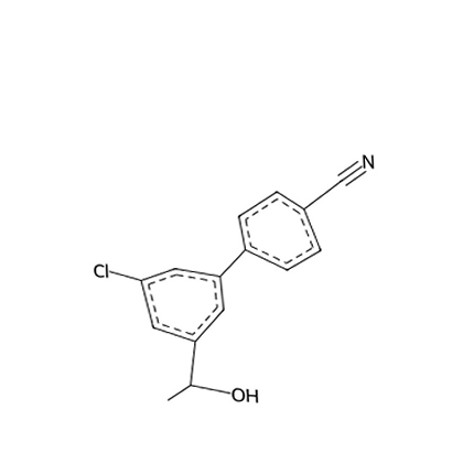 CC(O)c1cc(Cl)cc(-c2ccc(C#N)cc2)c1